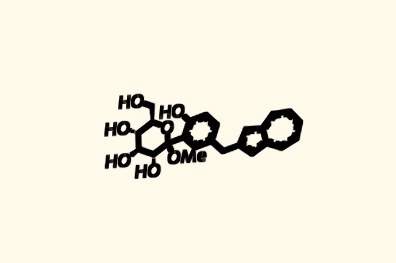 COC1(c2cc(Cc3cc4cccccc-4c3)ccc2O)O[C@H](CO)[C@@H](O)[C@H](O)[C@H]1O